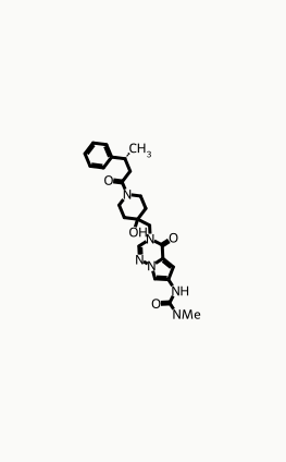 CNC(=O)Nc1cc2c(=O)n(CC3(O)CCN(C(=O)C[C@@H](C)c4ccccc4)CC3)cnn2c1